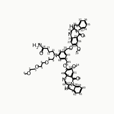 COCCOCCOCCN(CCCC(N)=O)c1cc(COc2cc3c(cc2OC)C(=O)N2c4ccccc4C[C@H]2C=N3)cc(COc2cc3c(cc2OC)C(=O)N2c4ccccc4C[C@H]2C=N3)c1